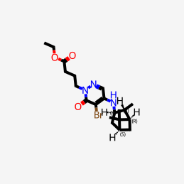 CCOC(=O)CCCn1ncc(N[C@@H]2C[C@@H]3C[C@H]([C@H]2C)C3(C)C)c(Br)c1=O